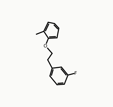 Cc1ccccc1OCCc1cccc(F)c1